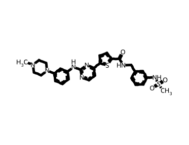 CN1CCN(c2cccc(Nc3nccc(-c4ccc(C(=O)NCc5cccc(NS(C)(=O)=O)c5)s4)n3)c2)CC1